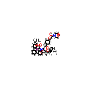 C=CCOC(=O)C(N1C(=O)[C@H]([C@@H](C)O[Si](C)(C)C)[C@H]1CC(=O)c1ccc(OCC(=O)N2CCOCC2)cc1)=P(c1ccccc1)(c1ccccc1)c1ccccc1